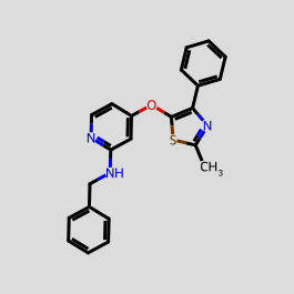 Cc1nc(-c2ccccc2)c(Oc2ccnc(NCc3ccccc3)c2)s1